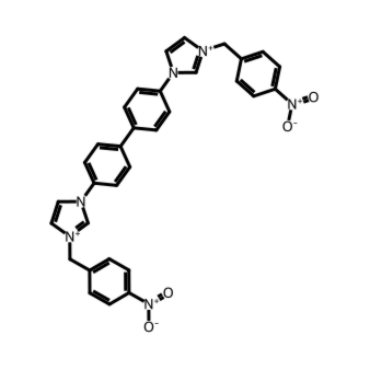 O=[N+]([O-])c1ccc(C[n+]2ccn(-c3ccc(-c4ccc(-n5cc[n+](Cc6ccc([N+](=O)[O-])cc6)c5)cc4)cc3)c2)cc1